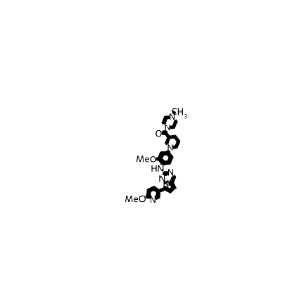 COc1ccc(-c2ccc3cnc(Nc4ccc(N5CCCC(C(=O)N6CCN(C)CC6)C5)cc4OC)nn23)cn1